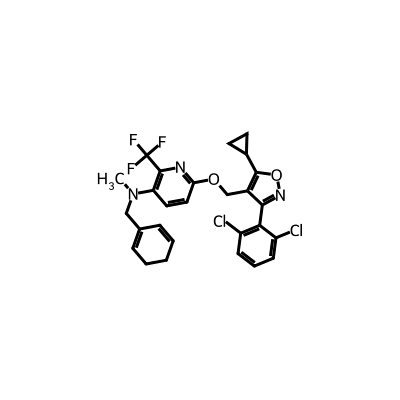 CN(CC1=CCCC=C1)c1ccc(OCc2c(-c3c(Cl)cccc3Cl)noc2C2CC2)nc1C(F)(F)F